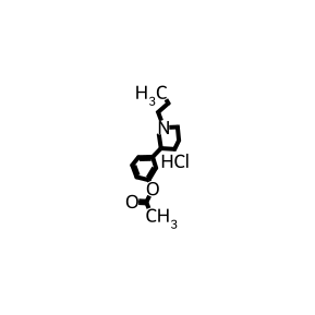 CCCN1CCCC(c2cccc(OC(C)=O)c2)C1.Cl